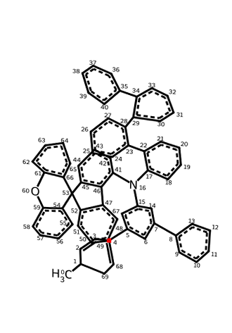 CC1C=CC(c2cc(-c3ccccc3)cc(N(c3ccccc3-c3ccccc3-c3ccccc3-c3ccccc3)c3cccc4c3-c3ccccc3C43c4ccccc4Oc4ccccc43)c2)=CC1